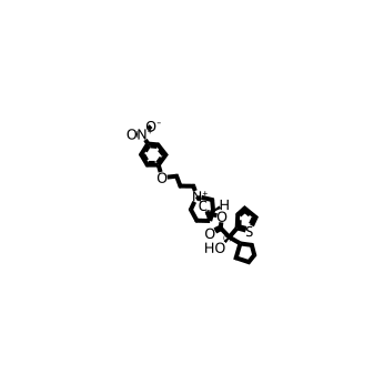 O=C(O[C@H]1C[N+]2(CCCOc3ccc([N+](=O)[O-])cc3)CCC1CC2)[C@](O)(c1cccs1)C1CCCC1